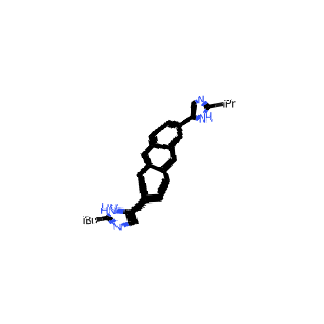 CCC(C)c1ncc(-c2ccc3cc4cc(-c5cnc(C(C)C)[nH]5)ccc4cc3c2)[nH]1